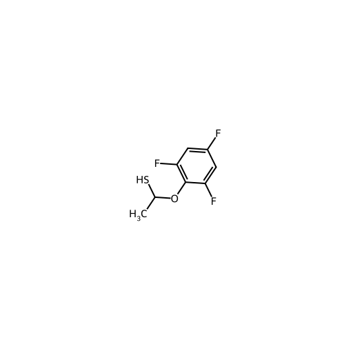 CC(S)Oc1c(F)cc(F)cc1F